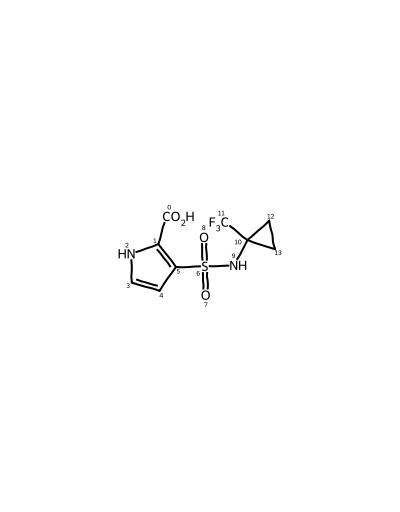 O=C(O)c1[nH]ccc1S(=O)(=O)NC1(C(F)(F)F)CC1